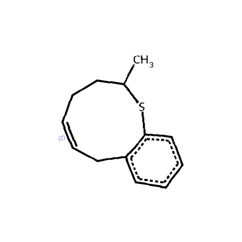 CC1CC/C=C\Cc2ccccc2S1